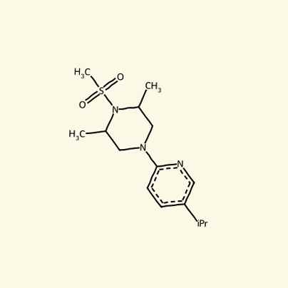 CC(C)c1ccc(N2CC(C)N(S(C)(=O)=O)C(C)C2)nc1